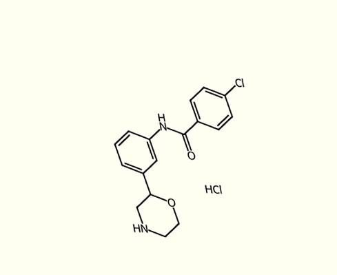 Cl.O=C(Nc1cccc(C2CNCCO2)c1)c1ccc(Cl)cc1